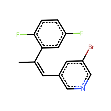 CC(=Cc1cncc(Br)c1)c1cc(F)ccc1F